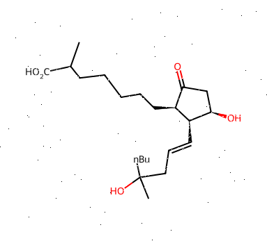 CCCCC(C)(O)C/C=C/[C@@H]1[C@H](O)CC(=O)[C@@H]1CCCCCC(C)C(=O)O